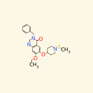 CCOc1cc2ncn(Cc3ccccc3)c(=O)c2cc1OC1CCN(SC)CC1